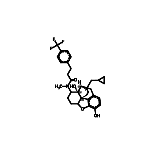 CN(C(=O)CCc1ccc(C(F)(F)F)cc1)C1CCC2Oc3c(O)ccc4c3[C@@]23CCN(CC2CC2)[C@H](C4)[C@]13O